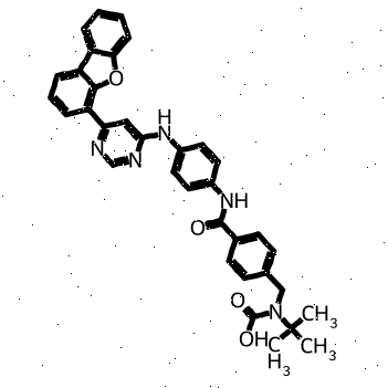 CC(C)(C)N(Cc1ccc(C(=O)Nc2ccc(Nc3cc(-c4cccc5c4oc4ccccc45)ncn3)cc2)cc1)C(=O)O